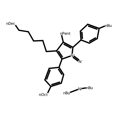 CCCCCCCCCCCCCCCC1=C(c2ccc(CCCCCCCC)cc2)[N+](=[N-])C(c2ccc(CCCC)cc2)=C1CCCCC.CCC[CH2][Ni][CH2]CCC